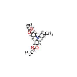 C=CC(=O)Oc1ccc(N(c2ccc(C)cc2)c2ccc(OC(=O)C=C)cc2)cc1